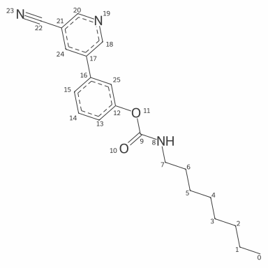 CCCCCCCCNC(=O)Oc1cccc(-c2cncc(C#N)c2)c1